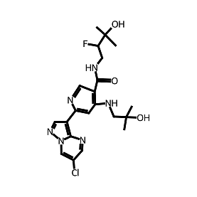 CC(C)(O)CNc1cc(-c2cnn3cc(Cl)cnc23)ncc1C(=O)NCC(F)C(C)(C)O